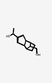 CC(O)C1CC2C3CCC(C3CO)C2C1